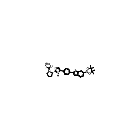 CC(C)(C)OC(=O)N1CCC[C@H]1c1ncc(-c2ccc(-c3cc4ccc(B5OC(C)(C)C(C)(C)O5)cc4s3)cc2)[nH]1